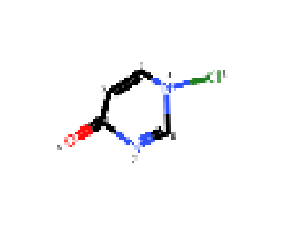 O=c1ccn(Cl)cn1